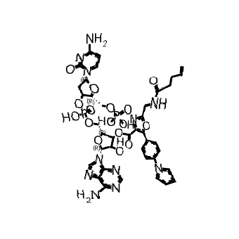 C=CCCC(=O)NCc1nc(C(=O)OC2C(O)[C@H](n3cnc4c(N)ncnc43)O[C@@H]2COP(=O)(O)OC2C[C@H](n3ccc(N)nc3=O)O[C@@H]2COP(=O)(O)O)c(-c2ccc(-n3cccc3)cc2)o1